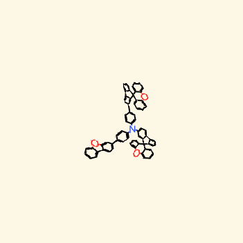 c1ccc2c(c1)Oc1ccccc1C21c2ccccc2-c2ccc(-c3ccc(N(c4ccc(-c5ccc6c(c5)oc5ccccc56)cc4)c4ccc5c(c4)C4(c6ccccc6Oc6ccccc64)c4ccccc4-5)cc3)cc21